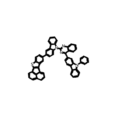 c1ccc(-n2c3ccccc3c3ccc(-c4nc(-n5c6ccccc6c6cc(-c7ccc8sc9c(c8c7)-c7cccc8cccc-9c78)ccc65)nc5ccccc45)cc32)cc1